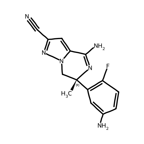 C[C@@]1(c2cc(N)ccc2F)Cn2nc(C#N)cc2C(N)=N1